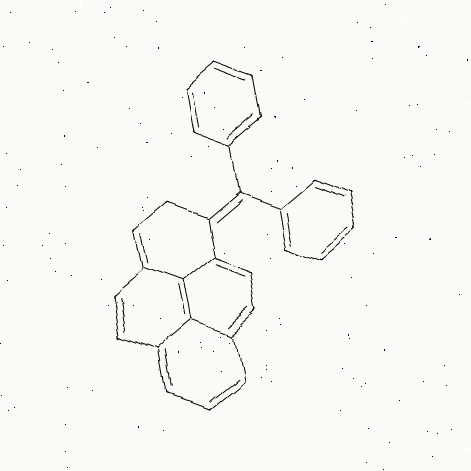 C1=c2ccc3cccc4ccc(c2c43)C(=C(c2ccccc2)c2ccccc2)C1